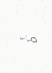 O=C(c1ccccc1)N(CF)C1CC1